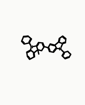 CC12CC(c3ccc4c(c3)c3ccccc3n4C3=CC=CCC3)=CC=C1N(c1ccccc1)c1ccccc12